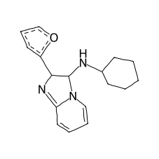 C1=CC2=NC(c3ccco3)C(NC3CCCCC3)N2C=C1